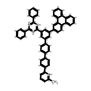 Cc1cccc(-c2ccc(-c3ccc(-c4cc(-c5ccc6c7ccccc7c7ccccc7c6c5)cc(-c5nc(-c6ccccc6)nc(-c6ccccc6)n5)c4)cc3)cc2)n1